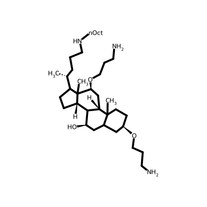 CCCCCCCCNCCC[C@@H](C)C1CC[C@H]2C3[C@H](O)CC4C[C@H](OCCCN)CCC4(C)[C@H]3C[C@H](OCCCN)C12C